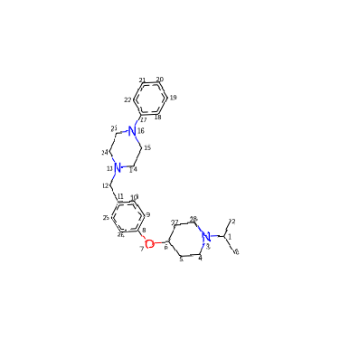 CC(C)N1CCC(Oc2ccc(CN3CCN(c4ccccc4)CC3)cc2)CC1